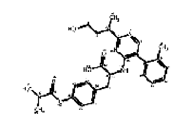 CCCN(C)c1ncc(-c2ccccc2C)c(N[C@@H](Cc2ccc(OC(=O)N(C)C)cc2)C(=O)O)n1